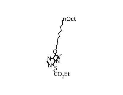 CCCCCCCC/C=C/CCCCCCCCOc1c2ncnc(SCC(=O)OCC)c2nn1C